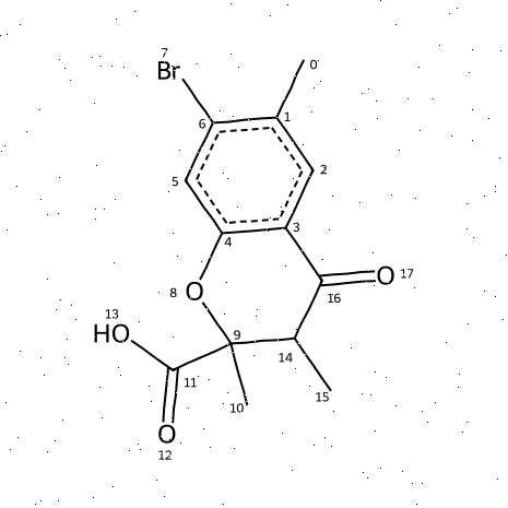 Cc1cc2c(cc1Br)OC(C)(C(=O)O)C(C)C2=O